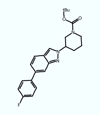 CC(C)(C)OC(=O)N1CCCC(n2cc3ccc(-c4ccc(F)cc4)cc3n2)C1